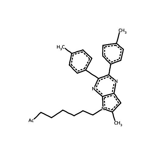 CC(=O)CCCCCCn1c(C)cc2nc(-c3ccc(C)cc3)c(-c3ccc(C)cc3)nc21